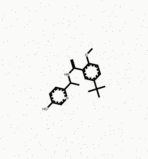 C=C(NC(C)c1ccc(O)cn1)c1cc(C(C)(C)C)ccc1OC